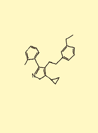 CCc1cccc(CCC2=C(C3CC3)CN=C2c2ccccc2C)c1